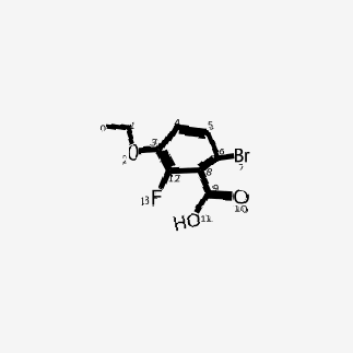 CCOc1ccc(Br)c(C(=O)O)c1F